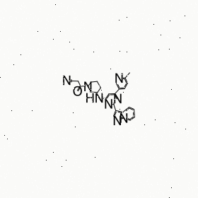 Cc1ccc(-c2cc(N[C@@H]3CCCN(C(=O)CC#N)C3)nc(-c3cnn4ccccc34)n2)cn1